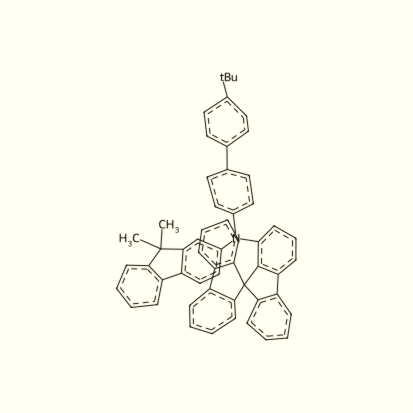 CC(C)(C)c1ccc(-c2ccc(N(c3ccc4c(c3)C(C)(C)c3ccccc3-4)c3cccc4c3C3(c5ccccc5-c5ccccc53)c3ccccc3-4)cc2)cc1